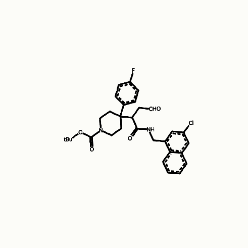 CC(C)(C)OC(=O)N1CCC(c2ccc(F)cc2)(C(CC=O)C(=O)NCc2cc(Cl)cc3ccccc23)CC1